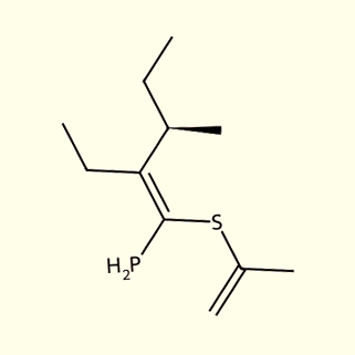 C=C(C)S/C(P)=C(/CC)[C@H](C)CC